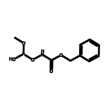 COP(O)ONC(=O)OCc1ccccc1